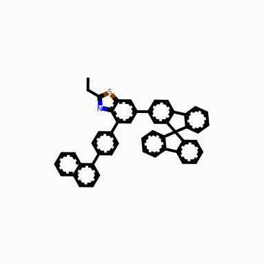 CCc1nc2c(-c3ccc(-c4cccc5ccccc45)cc3)cc(-c3ccc4c(c3)C3(c5ccccc5-c5ccccc53)c3ccccc3-4)cc2s1